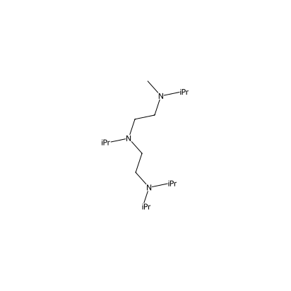 CC(C)N(C)CCN(CCN(C(C)C)C(C)C)C(C)C